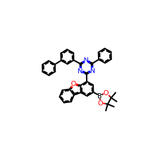 CC1(C)OB(c2cc(-c3nc(-c4ccccc4)nc(-c4cccc(-c5ccccc5)c4)n3)c3oc4ccccc4c3c2)OC1(C)C